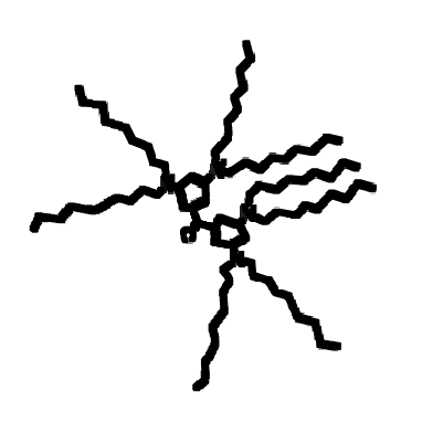 CCCCCCCCCN(CCCCCCCCC)c1cc(C(=O)c2cc(N(CCCCCCCCC)CCCCCCCCC)cc(N(CCCCCCCCC)CCCCCCCCC)c2)cc(N(CCCCCCCCC)CCCCCCCCC)c1